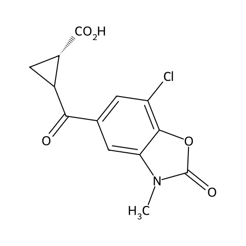 Cn1c(=O)oc2c(Cl)cc(C(=O)C3C[C@@H]3C(=O)O)cc21